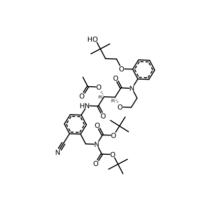 CC(=O)O[C@@H](C(=O)Nc1ccc(C#N)c(CN(C(=O)OC(C)(C)C)C(=O)OC(C)(C)C)c1)[C@H]1OCCN(c2ccccc2OCCC(C)(C)O)C1=O